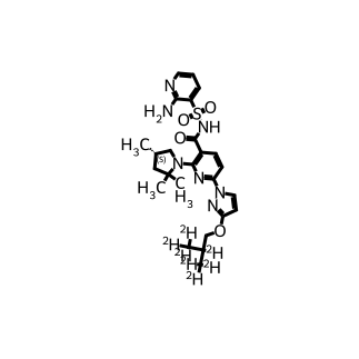 [2H]C([2H])([2H])C([2H])(COc1ccn(-c2ccc(C(=O)NS(=O)(=O)c3cccnc3N)c(N3C[C@@H](C)CC3(C)C)n2)n1)C([2H])([2H])[2H]